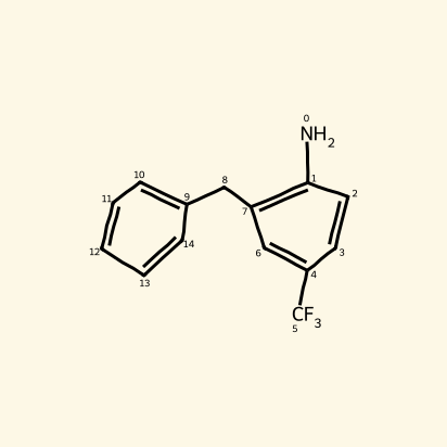 Nc1ccc(C(F)(F)F)cc1Cc1ccccc1